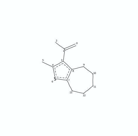 C=C(C)c1c(C)sc2c1CCCCC2